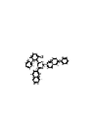 Clc1ccc2oc3ccccc3c2c1-c1nc(-c2ccc3ccccc3c2)nc(-c2ccc3cc(-c4ccccc4)ccc3c2)n1